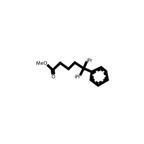 COC(=O)CCCC(c1ccccc1)(C(C)C)C(C)C